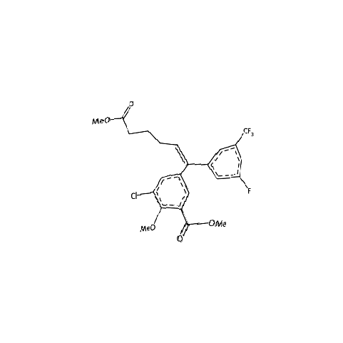 COC(=O)CCCC=C(c1cc(F)cc(C(F)(F)F)c1)c1cc(Cl)c(OC)c(C(=O)OC)c1